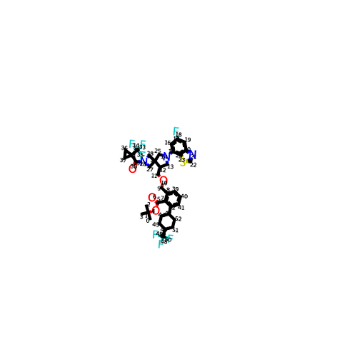 CC(C)(C)OC(=O)c1c(COCC2CN(c3cc(F)cc4ncsc34)CC23CN(C(=O)C2(C(F)(F)F)CC2)C3)cccc1C1CCC(C(F)(F)F)CC1